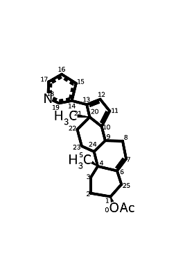 CC(=O)O[C@H]1CC[C@@]2(C)C(=CCC3C4=CC=C(c5cccnc5)[C@@]4(C)CCC32)C1